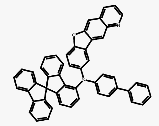 c1ccc(-c2ccc(N(c3ccc4oc5cc6cccnc6cc5c4c3)c3cccc4c3-c3ccccc3C43c4ccccc4-c4ccccc43)cc2)cc1